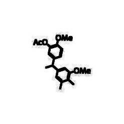 COc1ccc(C(C)c2cc(C)c(C)c(OC)c2)cc1OC(C)=O